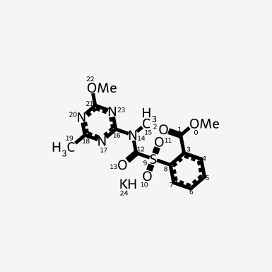 COC(=O)c1ccccc1S(=O)(=O)C(=O)N(C)c1nc(C)nc(OC)n1.[KH]